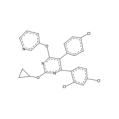 Clc1ccc(-c2c(Oc3cccnc3)nc(OC3CC3)nc2-c2ccc(Cl)cc2Cl)cc1